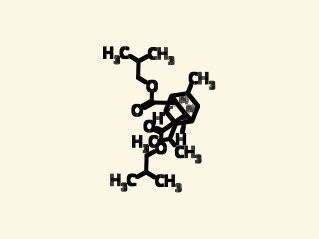 CC(C)COC(=O)[C@H]1C2CC(C(C)C)C(CC2C)[C@@H]1C(=O)OCC(C)C